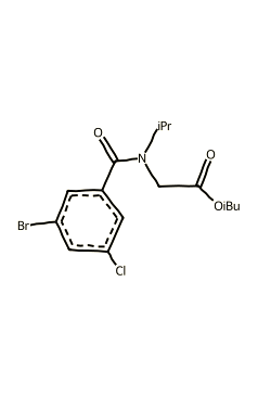 CC(C)COC(=O)CN(C(=O)c1cc(Cl)cc(Br)c1)C(C)C